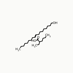 CCCCC(CC)C(=O)O.CCCCCCCCC=CCCCCCCCCO